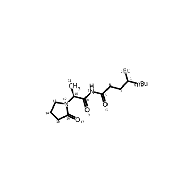 CCCCC(CC)CCC(=O)NC(=O)[C@H](C)N1CCCC1=O